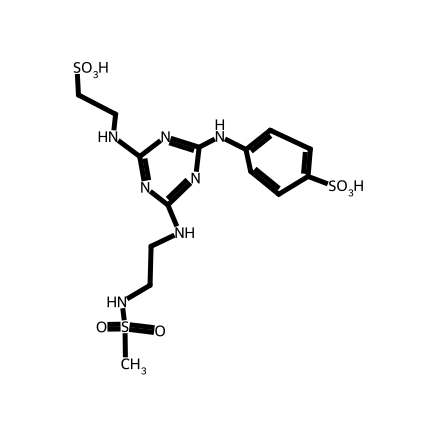 CS(=O)(=O)NCCNc1nc(NCCS(=O)(=O)O)nc(Nc2ccc(S(=O)(=O)O)cc2)n1